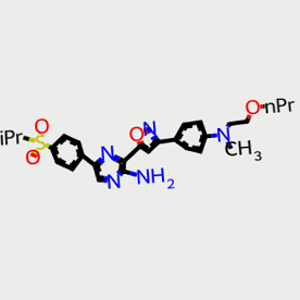 CCCOCCN(C)c1ccc(-c2cc(-c3nc(-c4ccc(S(=O)(=O)C(C)C)cc4)cnc3N)on2)cc1